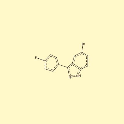 Fc1ccc(-c2n[nH]c3ccc(Br)cc23)cc1